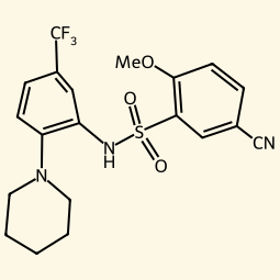 COc1ccc(C#N)cc1S(=O)(=O)Nc1cc(C(F)(F)F)ccc1N1CCCCC1